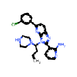 C=CCC(N1CCNCC1)n1c(-c2cccnc2N)nc2ccc(-c3cccc(Cl)c3)nc21